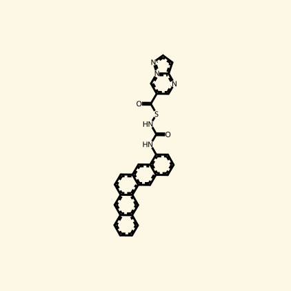 O=C(NSC(=O)c1cnc2ccnn2c1)Nc1cccc2cc3c(ccc4cc5ccccc5cc43)cc12